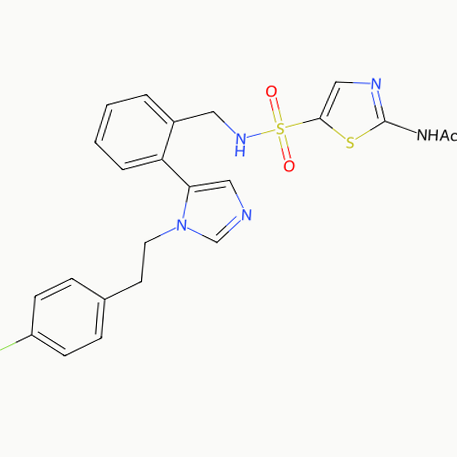 CC(=O)Nc1ncc(S(=O)(=O)NCc2ccccc2-c2cncn2CCc2ccc(F)cc2)s1